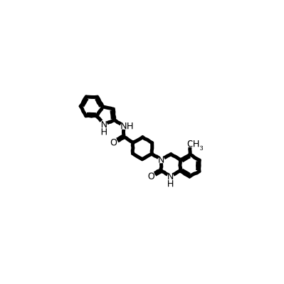 Cc1cccc2c1CN(C1CCC(C(=O)Nc3cc4ccccc4[nH]3)CC1)C(=O)N2